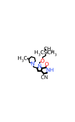 C[C@H]1CCCN(Cc2cc3c(C#N)c[nH]c(=O)c3n2COCC[Si](C)(C)C)C1